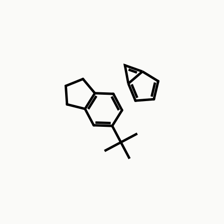 CC(C)(C)c1ccc2c(c1)CCC2.c1cc2cc-2c1